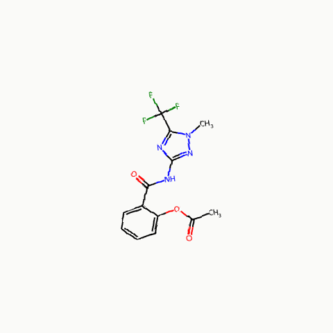 CC(=O)Oc1ccccc1C(=O)Nc1nc(C(F)(F)F)n(C)n1